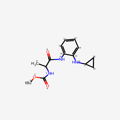 CC(NC(=O)OC(C)(C)C)C(=O)Nc1ccccc1NC1CC1